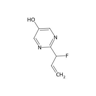 C=CC(F)c1ncc(O)cn1